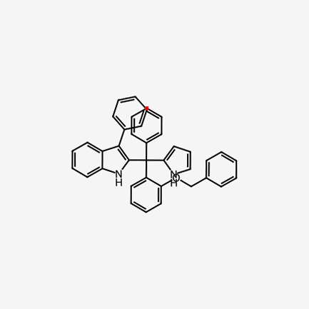 c1ccc(COc2ccccc2C(c2ccccc2)(c2ccc[nH]2)c2[nH]c3ccccc3c2-c2ccccc2)cc1